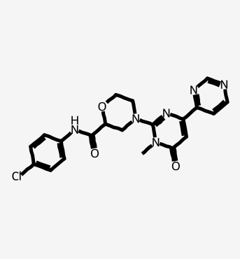 Cn1c(N2CCOC(C(=O)Nc3ccc(Cl)cc3)C2)nc(-c2ccncn2)cc1=O